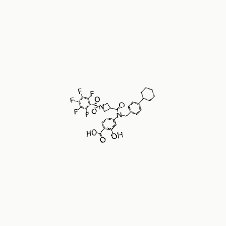 O=C(O)c1ccc(N(Cc2ccc(C3CCCCC3)cc2)C(=O)C2CN(S(=O)(=O)c3c(F)c(F)c(F)c(F)c3F)C2)cc1O